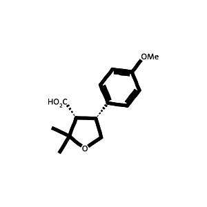 COc1ccc([C@@H]2COC(C)(C)[C@@H]2C(=O)O)cc1